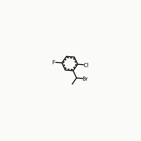 CC(Br)c1cc(F)ccc1Cl